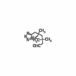 CC(C)(CC=O)CC(C)(C)Cc1nnn[nH]1